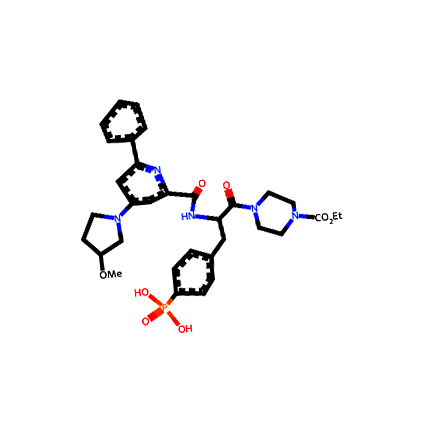 CCOC(=O)N1CCN(C(=O)C(Cc2ccc(P(=O)(O)O)cc2)NC(=O)c2cc(N3CCC(OC)C3)cc(-c3ccccc3)n2)CC1